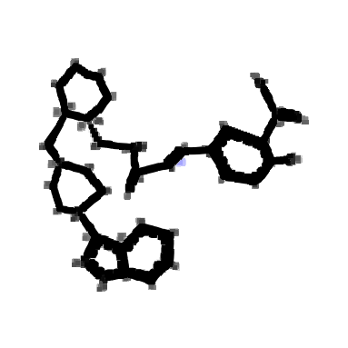 O=C(/C=C/c1ccc(Cl)c([N+](=O)[O-])c1)NC[C@H]1CCCC[C@@H]1CN1CCN(c2nsc3ccccc23)CC1